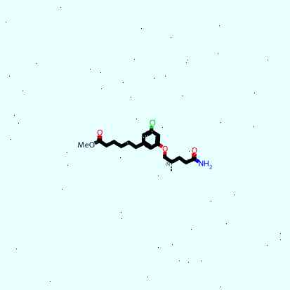 COC(=O)CCCCCc1cc(Cl)cc(OC[C@@H](C)CCC(N)=O)c1